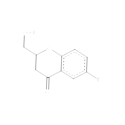 O=C(O)CC1CC(=O)c2cc(F)ccc2O1